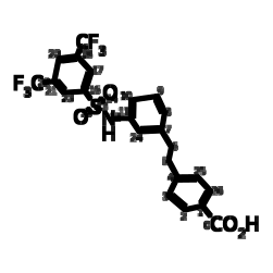 O=C(O)c1ccc(CCc2cccc(NS(=O)(=O)c3cc(C(F)(F)F)cc(C(F)(F)F)c3)c2)cc1